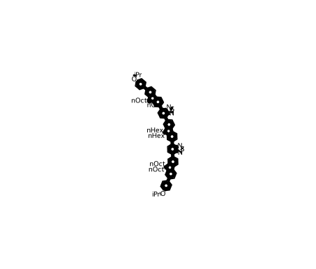 CCCCCCCCC1(CCCCCCCC)c2cc(-c3ccc(OC(C)C)cc3)ccc2-c2ccc(-c3ccc(-c4ccc5c(c4)C(CCCCCC)(CCCCCC)c4cc(-c6ccc(-c7ccc8c(c7)C(CCCCCCCC)(CCCCCCCC)c7cc(-c9ccc(OC(C)C)cc9)ccc7-8)c7nsnc67)ccc4-5)c4nsnc34)cc21